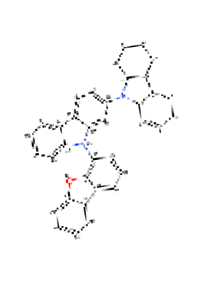 C1=CC2C(CC1)C1CCCCC1N2c1ccc2c3ccccc3n(-c3cccc4c3oc3ccccc34)c2c1